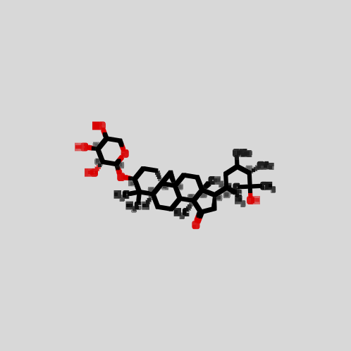 COC(C[C@@H](C)[C@H]1CC(=O)[C@@]2(C)C3CC[C@H]4C(C)(C)[C@@H](O[C@@H]5OCC(O)[C@H](O)[C@H]5O)CC[C@@]45C[C@@]35CC[C@]12C)[C@H](OC(C)=O)C(C)(C)O